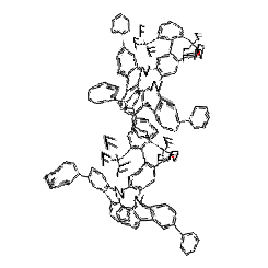 N#Cc1cc(-n2c3ccccc3c3cc(-c4ccccc4)ccc32)c(-n2c3ccccc3c3cc(-c4ccccc4)ccc32)cc1-c1c(C(F)(F)F)cc(-c2cc(-c3ccccc3)cc3c2c2ccc(-c4ccccc4)cc2n3-c2cc(C#N)c(-c3c(C(F)(F)F)cccc3C(F)(F)F)cc2-n2c3cc(-c4ccccc4)ccc3c3ccc(-c4ccccc4)cc32)cc1C(F)(F)F